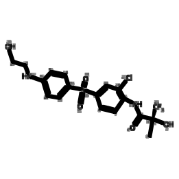 C[C@@](O)(C(=O)Nc1ccc(S(=O)(=O)c2ccc(NCCO)cc2)cc1Cl)C(F)(F)F